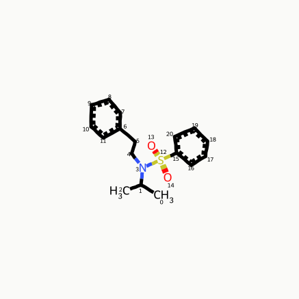 CC(C)N(CCc1ccccc1)S(=O)(=O)c1ccccc1